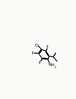 CC(C)c1c(N)c(F)c(F)c(Cl)c1F